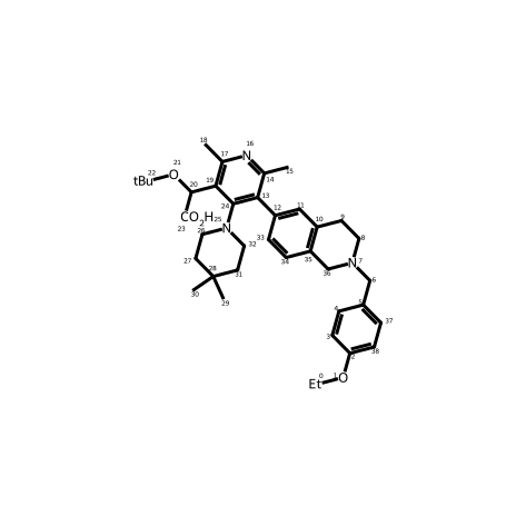 CCOc1ccc(CN2CCc3cc(-c4c(C)nc(C)c(C(OC(C)(C)C)C(=O)O)c4N4CCC(C)(C)CC4)ccc3C2)cc1